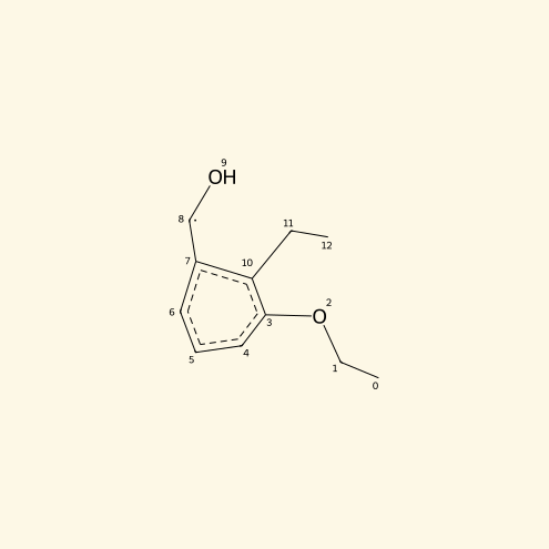 CCOc1cccc([CH]O)c1CC